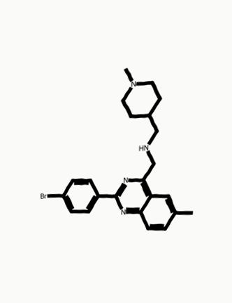 Cc1ccc2nc(-c3ccc(Br)cc3)nc(CNCC3CCN(C)CC3)c2c1